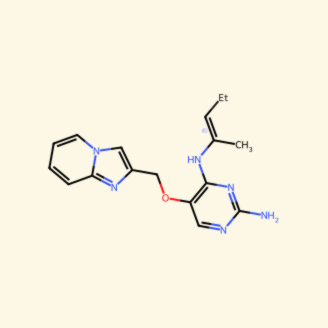 CC/C=C(\C)Nc1nc(N)ncc1OCc1cn2ccccc2n1